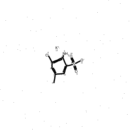 Cc1cc(Cl)c(N)c(S(=O)(=O)[O-])c1.[K+]